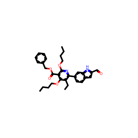 CCCCOc1nc(-c2ccc3cc(C=O)[nH]c3c2)c(CC)c(OCCCC)c1C(=O)OCc1ccccc1